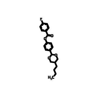 CCCCC1COC(c2ccc(OC(=O)c3ccc(F)cc3)cc2)OC1